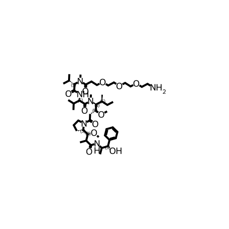 CC[C@H](C)[C@@H]([C@@H](CC(=O)N1CCC[C@H]1[C@H](OC)C(C)C(=O)NC(C)[C@@H](O)c1ccccc1)OC)N(C)C(=O)[C@@H](NC(=O)[C@H](C(C)C)N(C)C(=O)CCOCCOCCOCCN)C(C)C